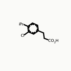 CC(C)c1ccc(CCC(=O)O)cc1Cl